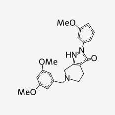 COc1cc(CN2CCc3c([nH]n(-c4cccc(OC)c4)c3=O)C2)cc(OC)c1